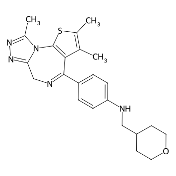 Cc1sc2c(c1C)C(c1ccc(NCC3CCOCC3)cc1)=NCc1nnc(C)n1-2